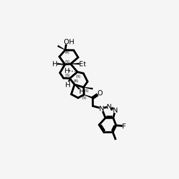 CC[C@]12CC[C@@](C)(O)C[C@H]1CC[C@H]1[C@H]3CC[C@H](C(=O)Cn4nnc5c(F)c(C)ccc54)[C@@]3(C)CC[C@@H]12